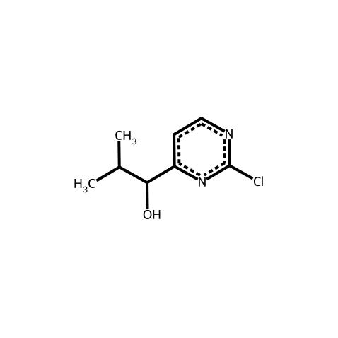 CC(C)C(O)c1ccnc(Cl)n1